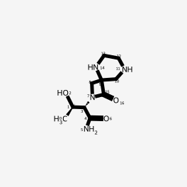 C[C@@H](O)[C@@H](C(N)=O)N1CC2(CNCCN2)C1=O